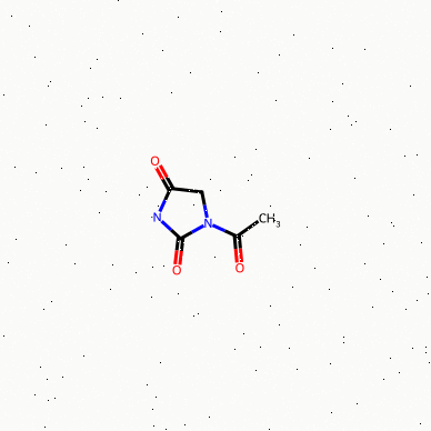 CC(=O)N1CC(=O)[N]C1=O